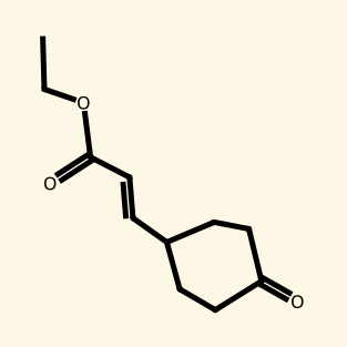 CCOC(=O)/C=C/C1CCC(=O)CC1